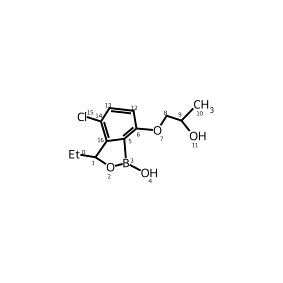 CCC1OB(O)c2c(OCC(C)O)ccc(Cl)c21